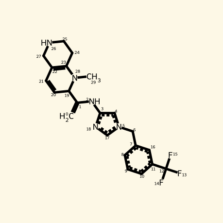 C=C(Nc1cn(Cc2cccc(C(F)(F)F)c2)cn1)C1C=CC2=C(CCNC2)N1C